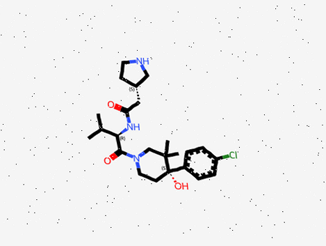 CC(C)[C@@H](NC(=O)C[C@@H]1CCNC1)C(=O)N1CC[C@](O)(c2ccc(Cl)cc2)C(C)(C)C1